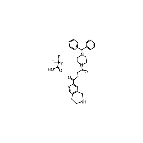 O=C(CCC(=O)N1CCN(C(c2ccccc2)c2ccccc2)CC1)c1ccc2c(c1)CCNCC2.O=C(O)C(F)(F)F